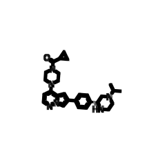 CC(C)N1CCN[C@H](c2ccc(-c3cc4c(N5CCN(C(=O)C6CC6)CC5)ccnn4c3)cc2)C1